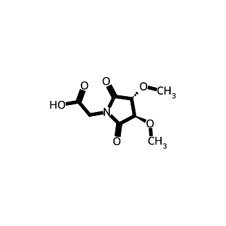 CO[C@H]1C(=O)N(CC(=O)O)C(=O)[C@@H]1OC